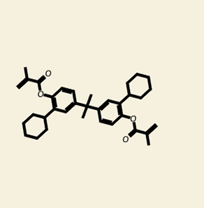 C=C(C)C(=O)Oc1ccc(C(C)(C)c2ccc(OC(=O)C(=C)C)c(C3CCCCC3)c2)cc1C1CCCCC1